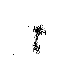 Cn1ncnc1[C@H]1c2n[nH]c(=O)c3cc(F)cc(c23)N[C@@H]1c1ccc(OCCO[C@H]2CC[C@H]3[C@@H]4CC[C@H]5CC(=O)CC[C@]5(C)[C@H]4CC[C@]23C)cc1